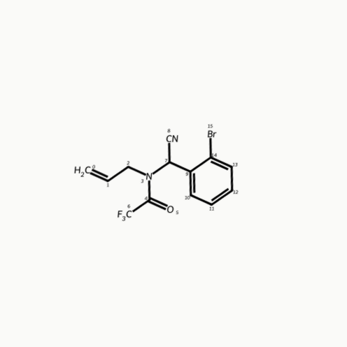 C=CCN(C(=O)C(F)(F)F)C(C#N)c1ccccc1Br